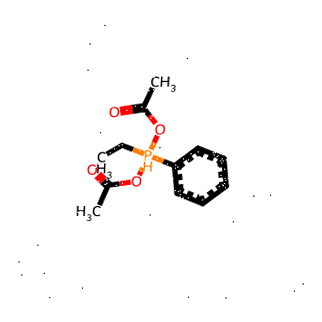 CC[PH](OC(C)=O)(OC(C)=O)c1ccccc1